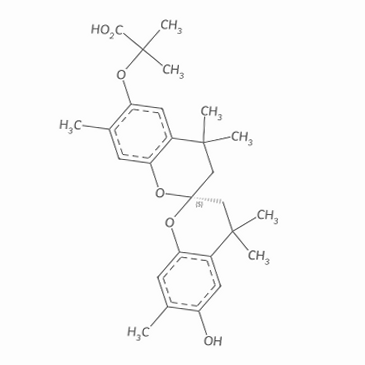 Cc1cc2c(cc1O)C(C)(C)C[C@]1(CC(C)(C)c3cc(OC(C)(C)C(=O)O)c(C)cc3O1)O2